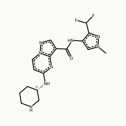 Cn1cc(NC(=O)c2cnn3ccc(N[C@H]4CCCNC4)nc23)c(C(F)F)n1